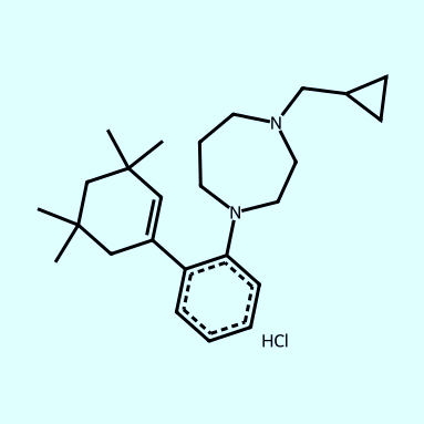 CC1(C)C=C(c2ccccc2N2CCCN(CC3CC3)CC2)CC(C)(C)C1.Cl